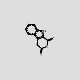 O=C1Cc2c([nH]c3ccccc23)C(=O)O1